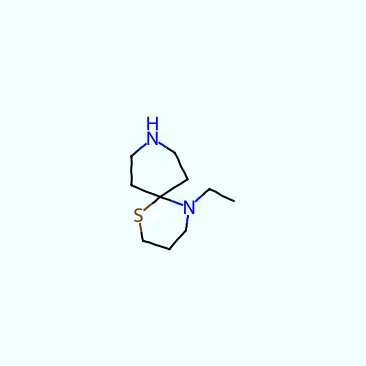 CCN1CCCSC12CCNCC2